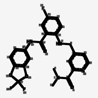 CN(C)C(=O)c1cc(CNc2ccc(F)cc2C(=O)Nc2ccc3c(c2)OC(F)(F)O3)ccn1